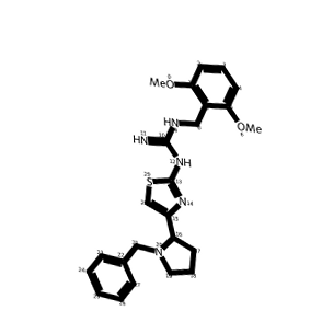 COc1cccc(OC)c1CNC(=N)Nc1nc(C2CCCN2Cc2ccccc2)cs1